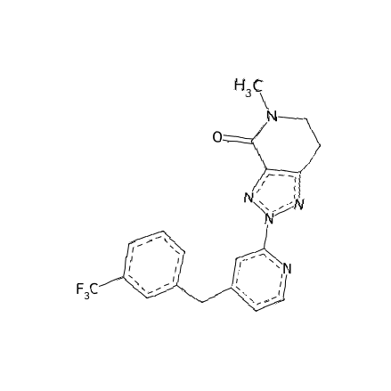 CN1CCc2nn(-c3cc(Cc4cccc(C(F)(F)F)c4)ccn3)nc2C1=O